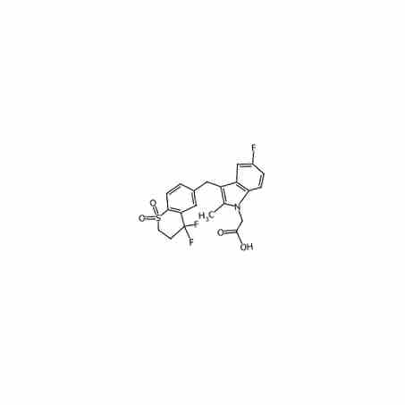 Cc1c(Cc2ccc3c(c2)C(F)(F)CCS3(=O)=O)c2cc(F)ccc2n1CC(=O)O